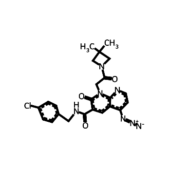 CC1(C)CN(C(=O)Cn2c(=O)c(C(=O)NCc3ccc(Cl)cc3)cc3c(N=[N+]=[N-])ccnc32)C1